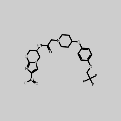 O=C(CN1CCC(Oc2ccc(OCC(F)(F)F)cc2)CC1)N[C@@H]1COc2nc([N+](=O)[O-])cn2C1